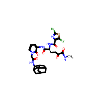 CNC(=O)C(=O)CC[C@H](NC(=O)c1nc(Br)sc1Br)C(=O)Nc1cccn(CC(=O)NC2C3CC4CC(C3)CC2C4)c1=O